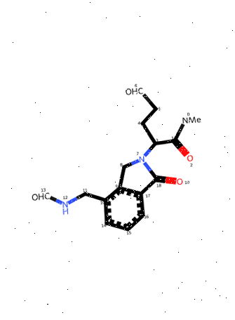 CNC(=O)C(CCC=O)N1Cc2c(CNC=O)cccc2C1=O